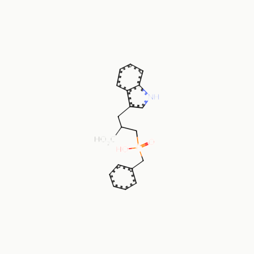 O=C(O)C(Cc1c[nH]c2ccccc12)CP(=O)(O)Cc1ccccc1